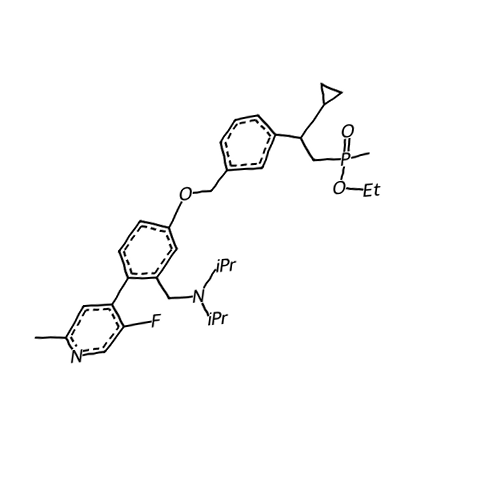 CCOP(C)(=O)CC(c1cccc(COc2ccc(-c3cc(C)ncc3F)c(CN(C(C)C)C(C)C)c2)c1)C1CC1